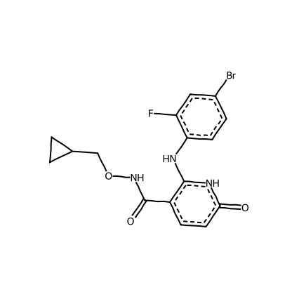 O=C(NOCC1CC1)c1ccc(=O)[nH]c1Nc1ccc(Br)cc1F